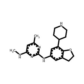 CNc1cc(C)nc(Nc2cc3c(c(C4CCNCC4)c2)OCC3)n1